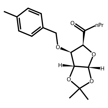 CCCC(=O)[C@H]1O[C@@H]2OC(C)(C)O[C@@H]2[C@H]1OCc1ccc(C)cc1